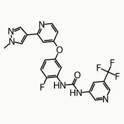 Cn1cc(-c2cc(Oc3ccc(F)c(NC(=O)Nc4cncc(C(F)(F)F)c4)c3)ccn2)cn1